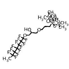 CC(F)(F)C(F)(F)C(F)(F)C(F)(F)C(F)(F)C(F)(F)OCC(O)COCCC[Si](C)(O[Si](C)(C)C)O[Si](C)(C)C